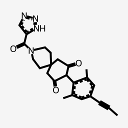 CC#Cc1cc(C)c(C2C(=O)CC3(CCN(C(=O)c4cnn[nH]4)CC3)CC2=O)c(C)c1